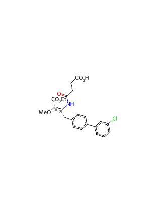 CCOC(=O)[C@@H](OC)[C@@H](Cc1ccc(-c2cccc(Cl)c2)cc1)NC(=O)CCC(=O)O